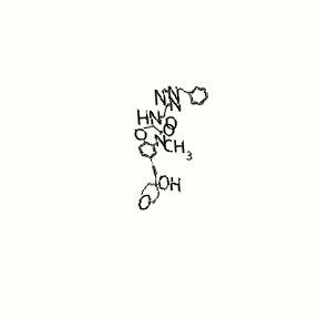 CN1C(=O)[C@H](NC(=O)c2ncn(Cc3ccccc3)n2)COc2ccc(C#CC3(O)CCOCC3)cc21